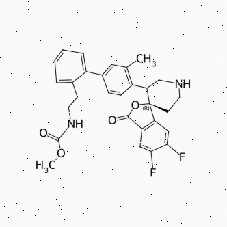 COC(=O)NCCc1ccccc1-c1ccc(C2CNCC[C@@]23OC(=O)c2cc(F)c(F)cc23)c(C)c1